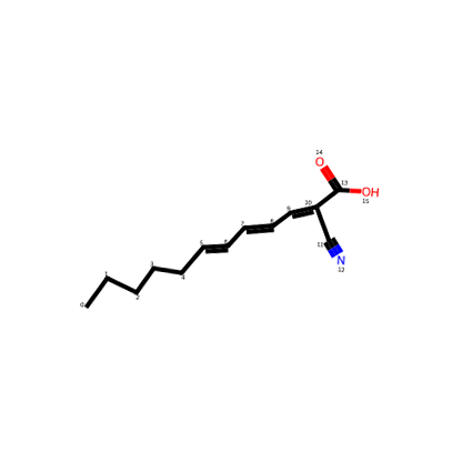 CCCCC/C=C/C=C/C=C(\C#N)C(=O)O